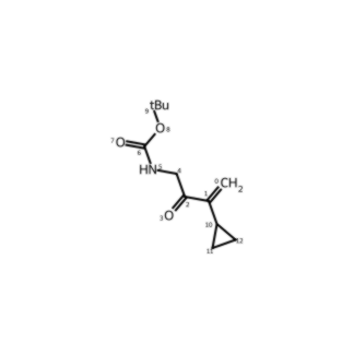 C=C(C(=O)CNC(=O)OC(C)(C)C)C1CC1